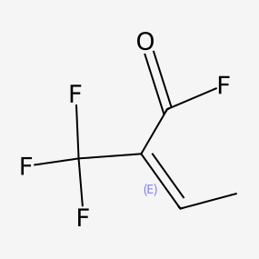 C/C=C(\C(=O)F)C(F)(F)F